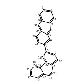 c1ccc2cc3cc(-c4ccc5ccc6cccnc6c5n4)ccc3cc2c1